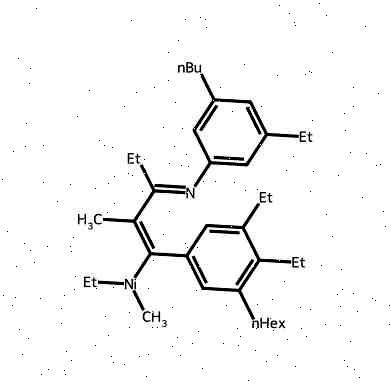 CCCCCCc1cc([C](=C(C)C(CC)=Nc2cc(CC)cc(CCCC)c2)[Ni]([CH3])[CH2]C)cc(CC)c1CC